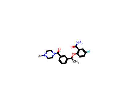 CC(=O)N1CCN(C(=O)c2cccc(C(C)Oc3ccc(F)cc3C(N)=O)c2)CC1